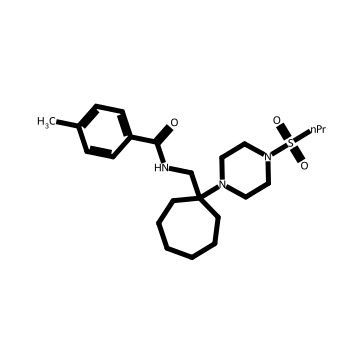 CCCS(=O)(=O)N1CCN(C2(CNC(=O)c3ccc(C)cc3)CCCCCC2)CC1